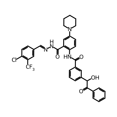 O=C(Nc1ccc(N2CCCCC2)cc1C(=O)N/N=C/c1ccc(Cl)c(C(F)(F)F)c1)c1cccc(C(O)C(=O)c2ccccc2)c1